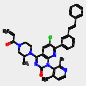 C=CC(=O)N1CCN(c2nc(=O)n(-c3c(C)ccnc3C(C)C)c3nc(-c4cccc(C=Cc5ccccc5)c4)c(Cl)cc23)[C@@H](C)C1